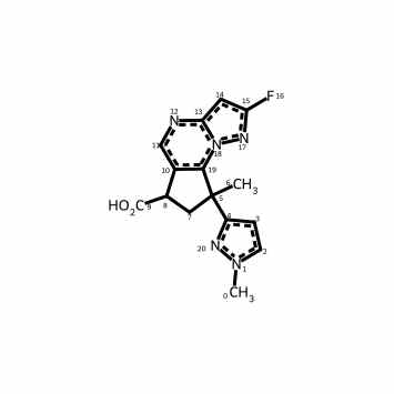 Cn1ccc(C2(C)CC(C(=O)O)c3cnc4cc(F)nn4c32)n1